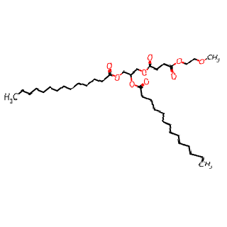 CCCCCCCCCCCCCC(=O)OCC(COC(=O)CCC(=O)OCCOC)OC(=O)CCCCCCCCCCCCC